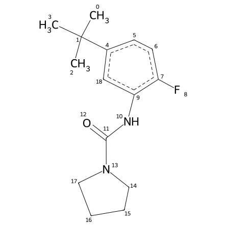 CC(C)(C)c1ccc(F)c(NC(=O)N2CCCC2)c1